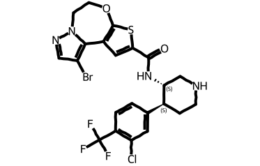 O=C(N[C@@H]1CNCC[C@H]1c1ccc(C(F)(F)F)c(Cl)c1)c1cc2c(s1)OCCn1ncc(Br)c1-2